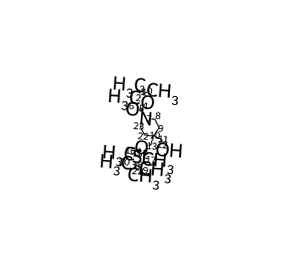 CC(C)(C)OC(=O)N1CCC(CO)(CO[Si](C)(C)C(C)(C)C)CC1